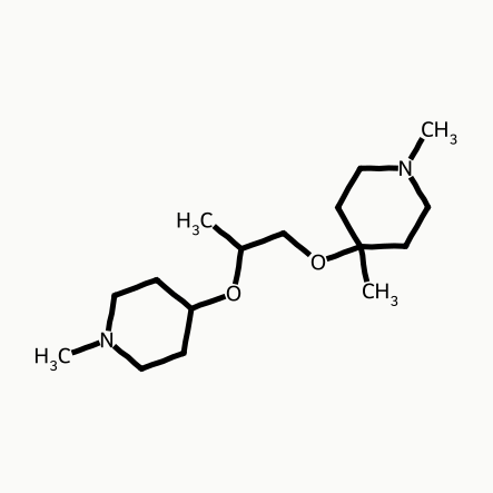 CC(COC1(C)CCN(C)CC1)OC1CCN(C)CC1